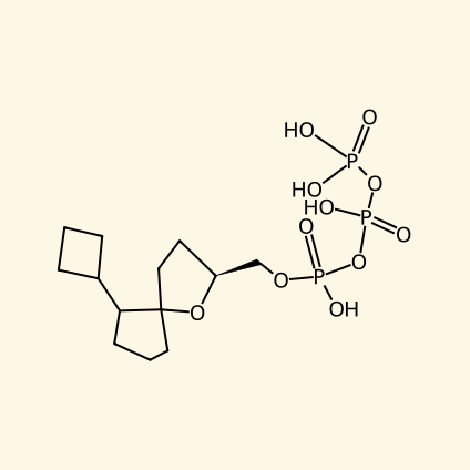 O=P(O)(O)OP(=O)(O)OP(=O)(O)OC[C@@H]1CCC2(CCCC2C2CCC2)O1